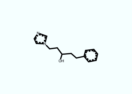 OC(CCc1ccccc1)CCn1ccnc1